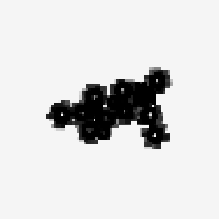 c1ccc(-c2ccc(-c3nc(-c4ccccc4)nc(-c4cccc5oc6c(-c7cc(-n8c9ccccc9c9cc(-c%10ccccc%10)ccc98)c8c(c7)oc7ccccc78)cccc6c45)n3)cc2)cc1